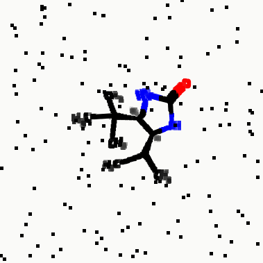 CC(C)[C@@H]1NC(=O)N[C@@H]1C(C)(C)C